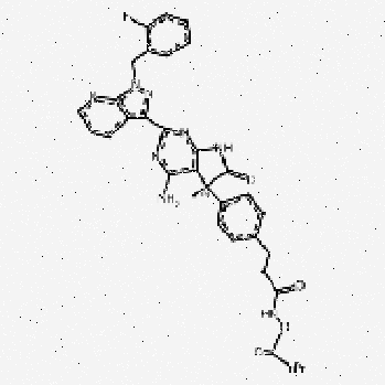 CCCC(=O)ONC(=O)CCc1ccc([C@@]2(C)C(=O)Nc3nc(-c4nn(Cc5ccccc5F)c5ncccc45)nc(N)c32)cc1